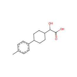 Cc1ccc(C2CCC(C(O)C(=O)O)CC2)cc1